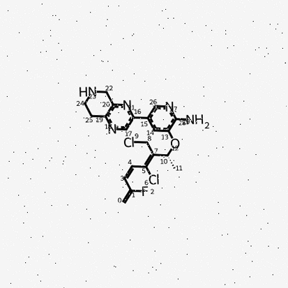 C=C(F)/C=C\C(Cl)=C(/CCl)[C@@H](C)Oc1cc(-c2cnc3c(n2)CNCC3)cnc1N